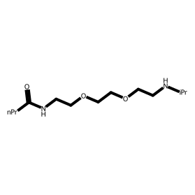 CCCC(=O)NCCOCCOCCNC(C)C